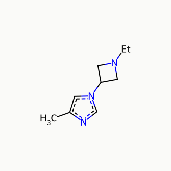 CCN1CC(n2cnc(C)c2)C1